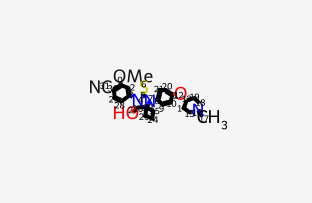 COc1cc(N2C(=S)N(c3ccc(OC4CCN(C)CC4)cc3)C3(CCC3)C2O)ccc1C#N